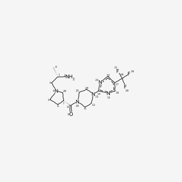 C[C@H](N)CN1CC[C@@H](C(=O)N2CCN(c3ncc(C(F)(F)F)cn3)CC2)C1